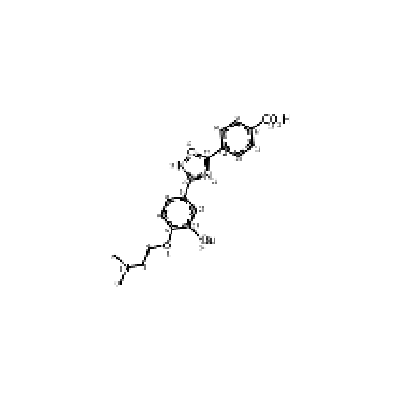 CN(C)CCOc1ccc(-c2noc(-c3ccc(C(=O)O)cc3)n2)cc1C(C)(C)C